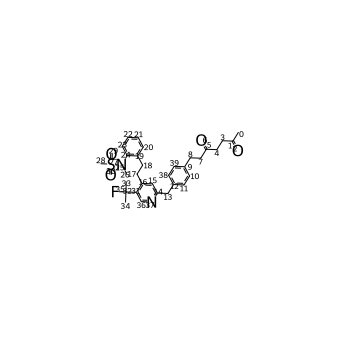 CC(=O)CCC(=O)CCc1ccc(Cc2cc(CCc3ccccc3N(C)S(C)(=O)=O)c(C(C)(C)F)cn2)cc1